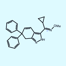 CO/N=C(/c1[nH]nc2c1C=CC(c1ccccc1)(c1ccccc1)C2)C1CC1